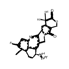 CCCN[C@H]1CCc2c(C)c(F)cc3nc4c(c1c23)Cn1c-4cc2c(c1=O)COC(=O)[C@]2(O)CC